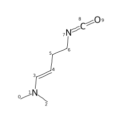 CN(C)/C=C/CCN=C=O